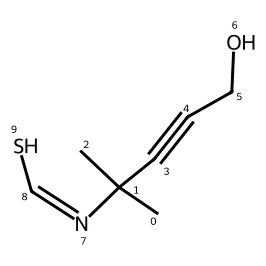 CC(C)(C#CCO)/N=C\S